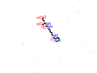 O=C(O)CC[C@H](NC(=O)NCCCCCNC(=O)c1ccc([18F])cn1)C(=O)O